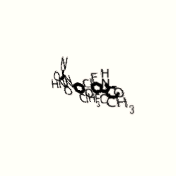 CC1(C)COCc2[nH]c3c(F)cc(Oc4c(Cl)cc(-n5nc(C#N)c(=O)[nH]c5=O)cc4Cl)c(F)c3c21